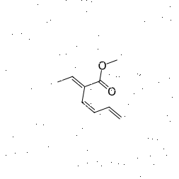 C=C/C=C\C(=C/C)C(=O)OC